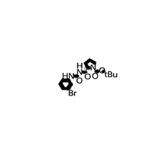 CC(C)(C)OC(=O)N1CCC[C@H]1C(=O)NC(=O)Nc1cccc(Br)c1